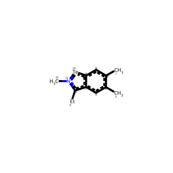 CCc1c2cc(C)c(C)cc2[te][n+]1C